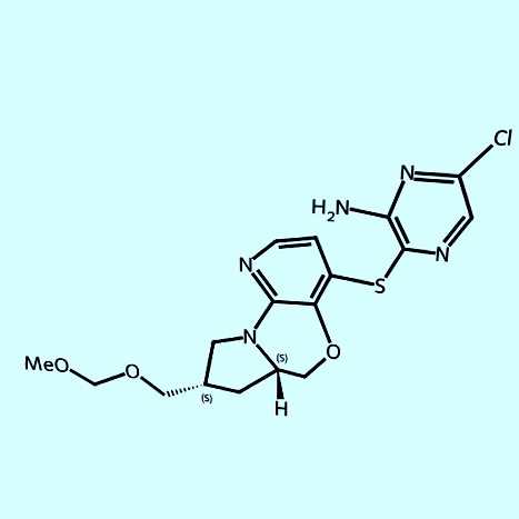 COCOC[C@H]1C[C@H]2COc3c(Sc4ncc(Cl)nc4N)ccnc3N2C1